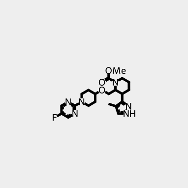 COC(=O)N1CCCC(c2n[nH]cc2C)C1COC1CCN(c2ncc(F)cn2)CC1